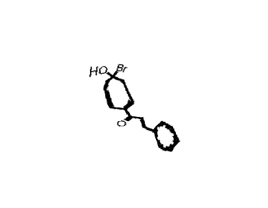 O=C(C=Cc1ccccc1)C1=CCC(O)(Br)C=C1